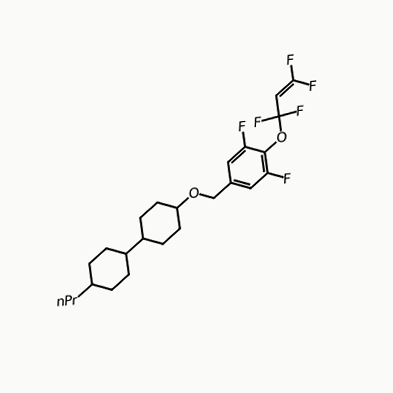 CCCC1CCC(C2CCC(OCc3cc(F)c(OC(F)(F)C=C(F)F)c(F)c3)CC2)CC1